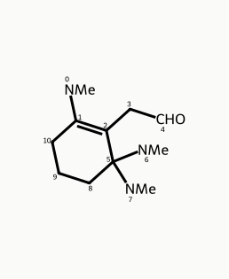 CNC1=C(CC=O)C(NC)(NC)CCC1